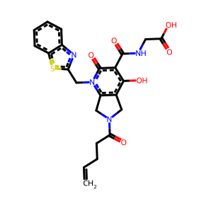 C=CCCC(=O)N1Cc2c(O)c(C(=O)NCC(=O)O)c(=O)n(Cc3nc4ccccc4s3)c2C1